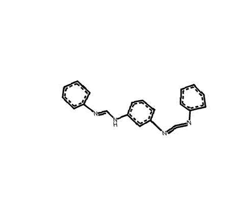 C(=Nc1ccccc1)=Nc1cccc(NC=Nc2ccccc2)c1